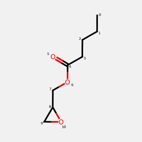 CCCCC(=O)OCC1CO1